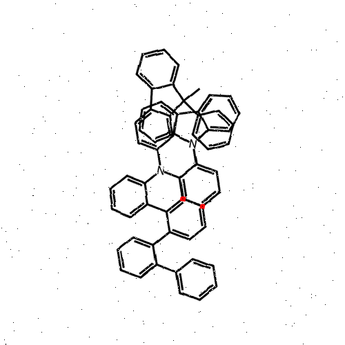 CC1(c2ccccc2)c2ccccc2-c2ccc(N(c3ccccc3-c3ccccc3-c3ccccc3-c3ccccc3)c3ccccc3-n3c4ccccc4c4ccccc43)cc21